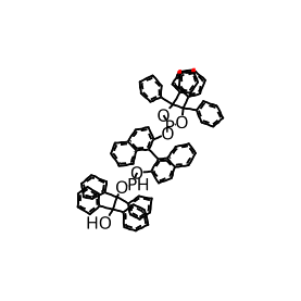 OC(c1ccccc1)(c1ccccc1)C(OPOc1ccc2ccccc2c1-c1c(OP2OC(c3ccccc3)(c3ccccc3)C(c3ccccc3)(c3ccccc3)O2)ccc2ccccc12)(c1ccccc1)c1ccccc1